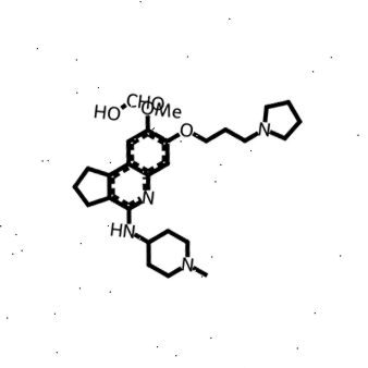 COc1cc2c3c(c(NC4CCN(C)CC4)nc2cc1OCCCN1CCCC1)CCC3.O=CO